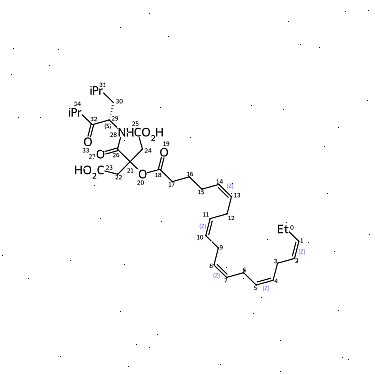 CC/C=C\C/C=C\C/C=C\C/C=C\C/C=C\CCCC(=O)OC(CC(=O)O)(CC(=O)O)C(=O)N[C@@H](CC(C)C)C(=O)C(C)C